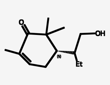 CCC(CO)[C@@H]1CC=C(C)C(=O)C1(C)C